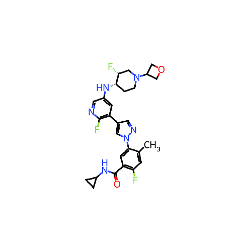 Cc1cc(F)c(C(=O)NC2CC2)cc1-n1cc(-c2cc(N[C@H]3CCN(C4COC4)C[C@H]3F)cnc2F)cn1